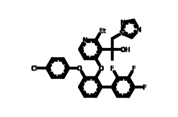 CCc1nccc(Oc2c(Oc3ccc(Cl)cc3)cccc2-c2ccc(F)c(F)c2F)c1C(C)(O)Cn1cncn1